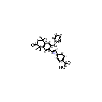 CC1(C)CC(=O)C(C)(C)c2cc(/C=C/C3C=CC(C(=O)O)=CC3)c(Cn3cccn3)cc21